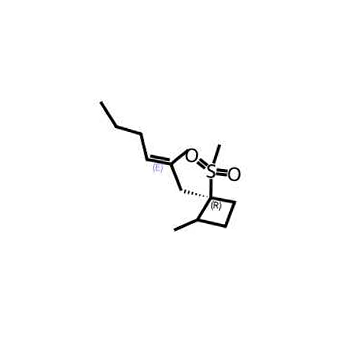 CCC/C=C(\C)C[C@]1(S(C)(=O)=O)CCC1C